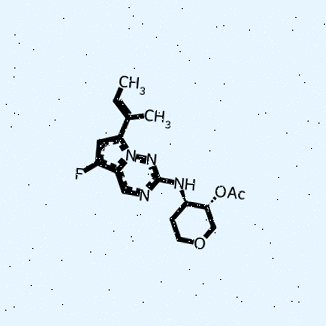 C/C=C(\C)c1cc(F)c2cnc(N[C@@H]3CCOC[C@H]3OC(C)=O)nn12